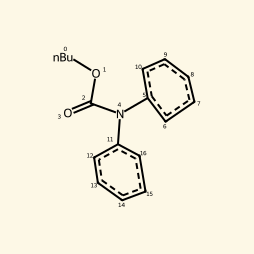 CCCCOC(=O)N(c1ccccc1)c1ccccc1